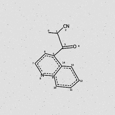 CC(C#N)C(=O)c1ccnc2ccccc12